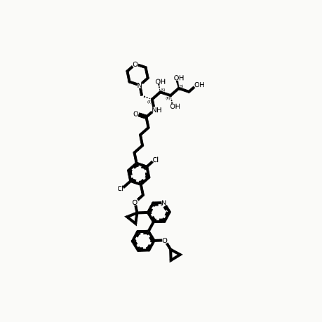 O=C(CCCCc1cc(Cl)c(COC2(c3cnccc3-c3ccccc3OC3CC3)CC2)cc1Cl)N[C@H](CN1CCOCC1)[C@H](O)[C@@H](O)[C@@H](O)CO